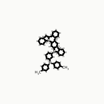 Cc1ccc(N(c2ccc(C)cc2)c2cccc(-n3c4ccccc4c4cc5c6ccccc6c6cc7ccccc7n6c5cc43)c2)cc1